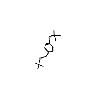 CC(C)(C)Nc1ccc(COC(C)(C)C)cc1